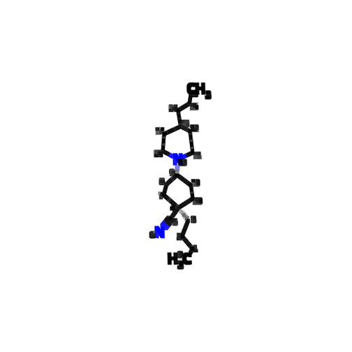 CCCC[C@]1(C#N)CC[C@H](N2CCC(CCC)CC2)CC1